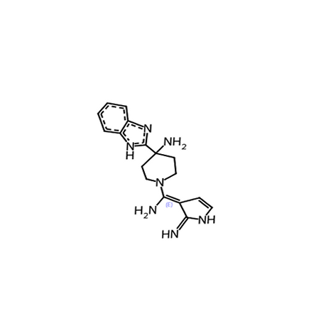 N=C1NC=C/C1=C(/N)N1CCC(N)(c2nc3ccccc3[nH]2)CC1